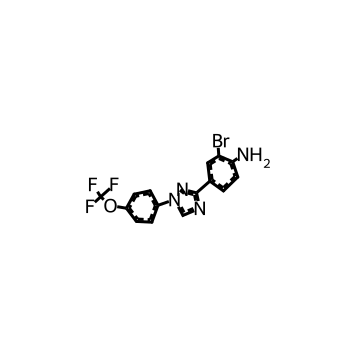 Nc1ccc(-c2ncn(-c3ccc(OC(F)(F)F)cc3)n2)cc1Br